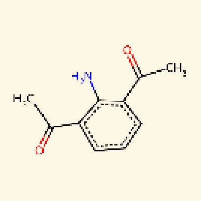 CC(=O)c1cccc(C(C)=O)c1N